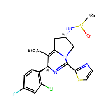 CCOC(=O)C1=C2C[C@H](N[S+]([O-])C(C)(C)C)CN2C(c2nccs2)=N[C@H]1c1ccc(F)cc1Cl